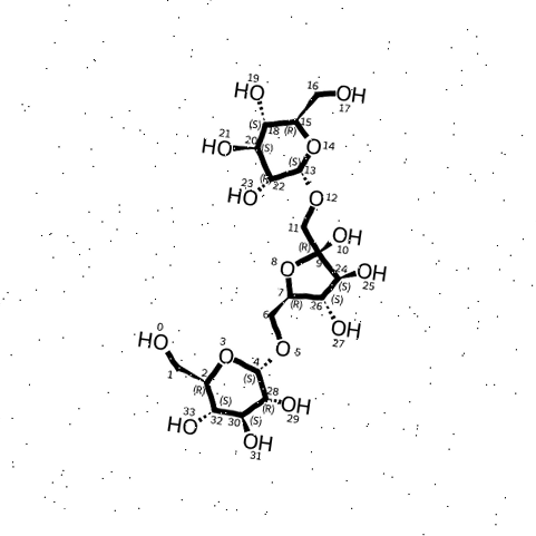 OC[C@H]1O[C@H](OC[C@H]2O[C@](O)(CO[C@H]3O[C@H](CO)[C@@H](O)[C@H](O)[C@H]3O)[C@@H](O)[C@@H]2O)[C@H](O)[C@@H](O)[C@@H]1O